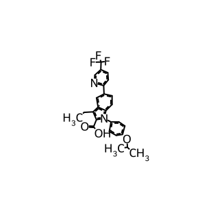 CCc1c(C(=O)O)n(-c2ccc(OC(C)C)cc2)c2ccc(-c3ccc(C(F)(F)F)cn3)cc12